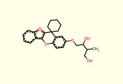 CC(CO)C(O)COc1ccc2c(c1)C1(CCCCC1)c1oc3ccccc3c1O2